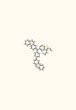 C=Cc1sc2ccc(N(c3ccc(-c4ccc5oc6ccccc6c5c4)cc3)c3ccc4c(ccc5ccccc54)c3)cc2c1/C=C\C